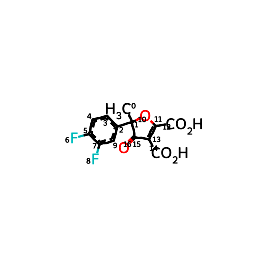 CC1(c2ccc(F)c(F)c2)OC(C(=O)O)=C(C(=O)O)C1=O